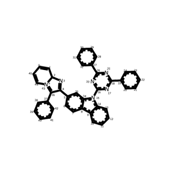 C1=CC2N=C(c3ccc4c5ccccc5n(-c5nc(-c6ccccc6)nc(-c6ccccc6)n5)c4c3)C(c3ccccc3)=[N+]2C=C1